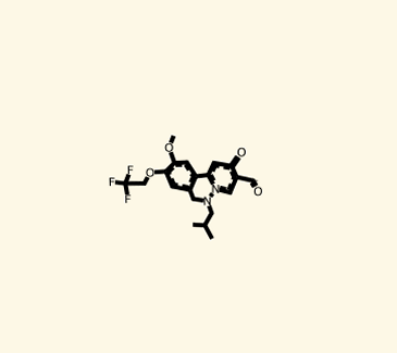 COc1cc2c(cc1OCC(F)(F)F)CN(CC(C)C)n1cc([C]=O)c(=O)cc1-2